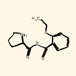 CCOc1ccccc1C(=O)NC(=O)C1CCCN1